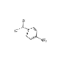 CCC(C#N)c1ccc(C(=O)O)cc1